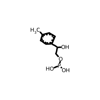 Cc1ccc(C(O)COP(O)O)cc1